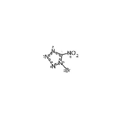 O=[N+]([O-])c1nnnn1Br